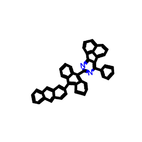 c1ccc(-c2nc(-c3c4ccccc4c(-c4ccc5cc6ccccc6cc5c4)c4ccccc34)nc3c2-c2cccc4cccc-3c24)cc1